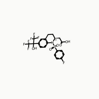 O=C(O)C[C@@H]1CCc2cc(C(O)(C(F)(F)F)C(F)(F)F)ccc2N1S(=O)(=O)c1ccc(F)cc1